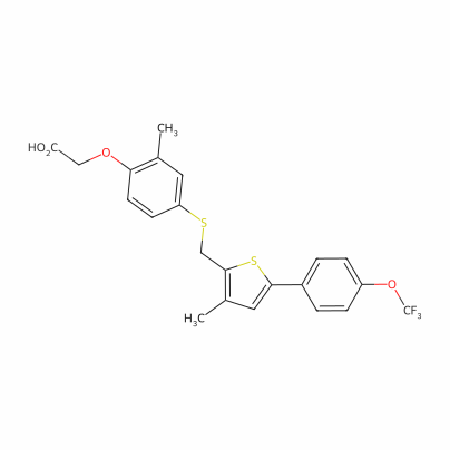 Cc1cc(SCc2sc(-c3ccc(OC(F)(F)F)cc3)cc2C)ccc1OCC(=O)O